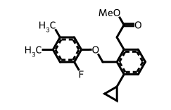 COC(=O)Cc1cccc(C2CC2)c1COc1cc(C)c(C)cc1F